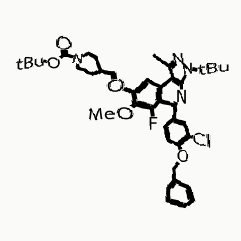 COc1c(OCC2CCN(C(=O)OC(C)(C)C)CC2)cc2c(c(-c3ccc(OCc4ccccc4)c(Cl)c3)nc3c2c(C)nn3C(C)(C)C)c1F